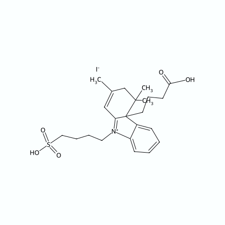 CC1=CC2=[N+](CCCCS(=O)(=O)O)c3ccccc3C2(CCCC(=O)O)C(C)(C)C1.[I-]